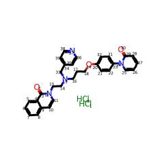 Cl.Cl.O=c1c2ccccc2ccn1CCN(CCCOc1ccc(-n2ccccc2=O)cc1)Cc1ccncc1